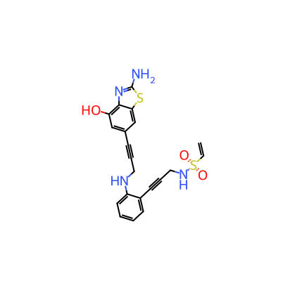 C=CS(=O)(=O)NCC#Cc1ccccc1NCC#Cc1cc(O)c2nc(N)sc2c1